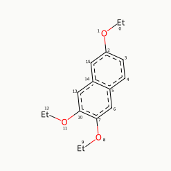 CCOc1ccc2cc(OCC)c(OCC)cc2c1